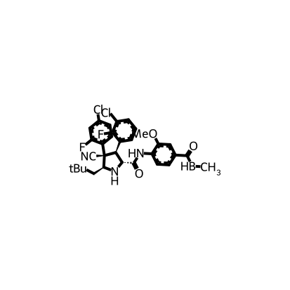 CBC(=O)c1ccc(NC(=O)[C@@H]2N[C@@H](CC(C)(C)C)[C@](C#N)(c3ccc(Cl)cc3F)[C@H]2c2cccc(Cl)c2F)c(OC)c1